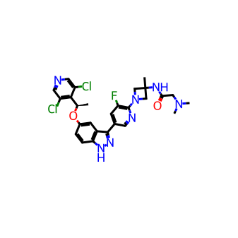 C[C@@H](Oc1ccc2[nH]nc(-c3cnc(N4CC(C)(NC(=O)CN(C)C)C4)c(F)c3)c2c1)c1c(Cl)cncc1Cl